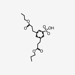 CCCOC(=O)CCc1cc(CCC(=O)OCCC)cc(S(=O)(=O)O)c1